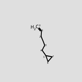 C=CC[CH]CC1CC1